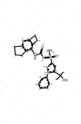 CC(C)(O)c1cc(S(N)(=O)=NC(=O)Nc2c3c(nc4c2CC4)CCC3)nn1-c1ccccc1